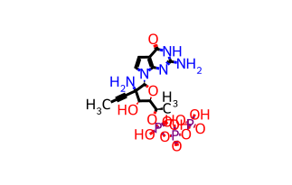 CC#CC1(N)[C@@H](O)[C@@H]([C@@H](C)OP(=O)(O)OP(=O)(O)OP(=O)(O)O)O[C@H]1n1ccc2c(=O)[nH]c(N)nc21